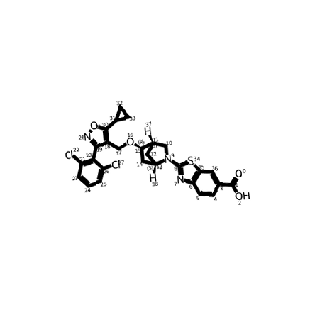 O=C(O)c1ccc2nc(N3C[C@@H]4C[C@H]3C[C@H]4OCc3c(-c4c(Cl)cccc4Cl)noc3C3CC3)sc2c1